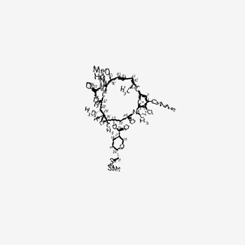 COc1cc2cc(c1Cl)N(C)C(=O)C[C@H](OC(=O)[C@@H]1CC[C@@H](CSSC)OC1)[C@]1(C)O[C@@H]1[C@H](C)[C@@H]1C[C@@](O)(NC(=O)O1)[C@@H](OC)/C=C/C=C(\C)C2